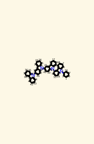 c1ccc(-n2c3ccccc3c3c(-n4c5ccccc5c5cc(-n6c7ccccc7c7cc(-n8c9ccccc9c9ccccc98)ccc76)ccc54)cccc32)cc1